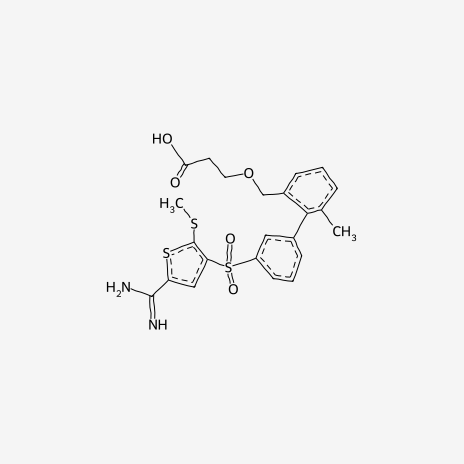 CSc1sc(C(=N)N)cc1S(=O)(=O)c1cccc(-c2c(C)cccc2COCCC(=O)O)c1